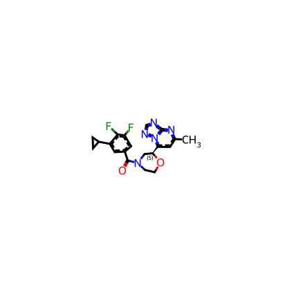 Cc1cc([C@@H]2CN(C(=O)c3cc(F)c(F)c(C4CC4)c3)CCO2)n2ncnc2n1